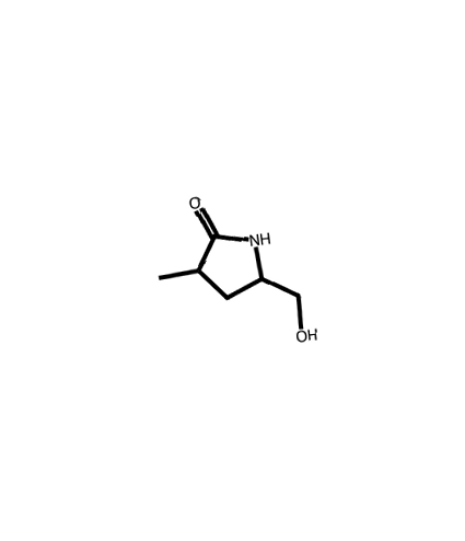 CC1CC(CO)NC1=O